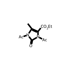 CCOC(=O)c1c(C)n(C(C)=O)c(=O)n1C(C)=O